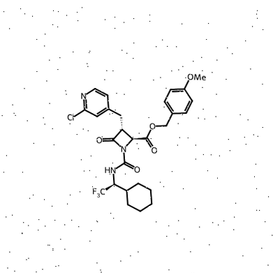 COc1ccc(COC(=O)[C@@H]2[C@@H](Cc3ccnc(Cl)c3)C(=O)N2C(=O)N[C@@H](C2CCCCC2)C(F)(F)F)cc1